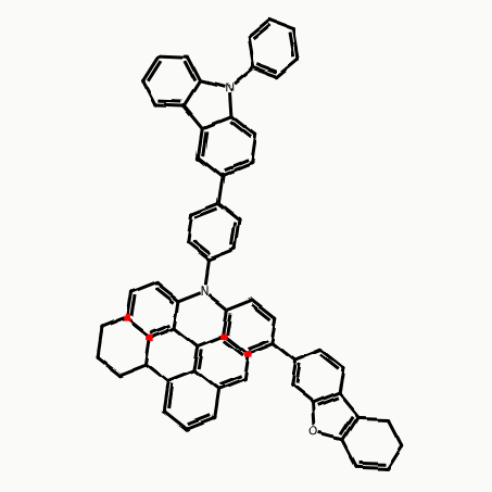 C1=Cc2oc3cc(-c4ccc(N(c5ccc(-c6ccc7c(c6)c6ccccc6n7-c6ccccc6)cc5)c5ccccc5-c5cccc6cccc(C7CCCCC7)c56)cc4)ccc3c2CC1